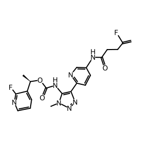 C=C(F)CCC(=O)Nc1ccc(-c2nnn(C)c2NC(=O)O[C@H](C)c2cccnc2F)nc1